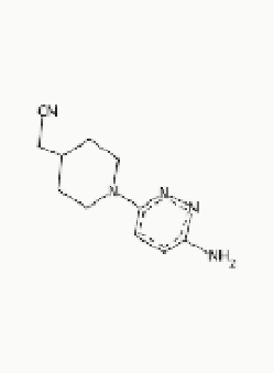 N#CCC1CCN(c2ccc(N)nn2)CC1